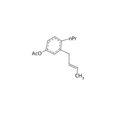 CC=CCc1cc(OC(C)=O)ccc1CCC